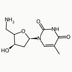 Cc1cn([C@H]2C[C@@H](O)C(CN)O2)c(=O)[nH]c1=O